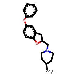 CCOC(=O)C1CCN(CC2Cc3cc(Oc4ccccc4)ccc3O2)CC1